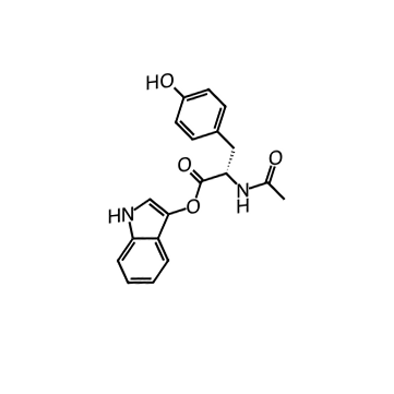 CC(=O)N[C@@H](Cc1ccc(O)cc1)C(=O)Oc1c[nH]c2ccccc12